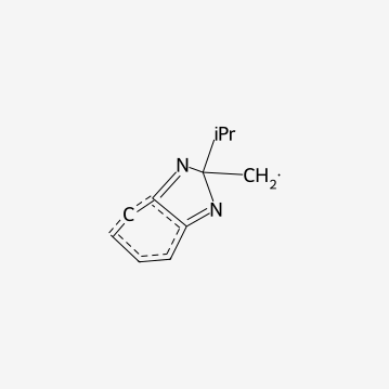 [CH2]C1(C(C)C)N=c2ccccc2=N1